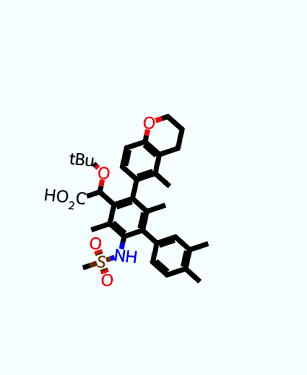 Cc1ccc(-c2c(C)c(-c3ccc4c(c3C)CCCO4)c(C(OC(C)(C)C)C(=O)O)c(C)c2NS(C)(=O)=O)cc1C